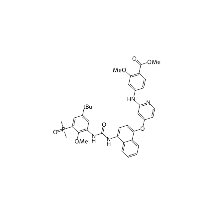 COC(=O)c1ccc(Nc2cc(Oc3ccc(NC(=O)Nc4cc(C(C)(C)C)cc(P(C)(C)=O)c4OC)c4ccccc34)ccn2)cc1OC